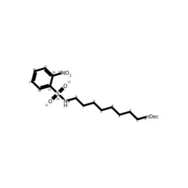 CCCCCCCCCCCCCCCCCCNS(=O)(=O)c1ccccc1[N+](=O)[O-]